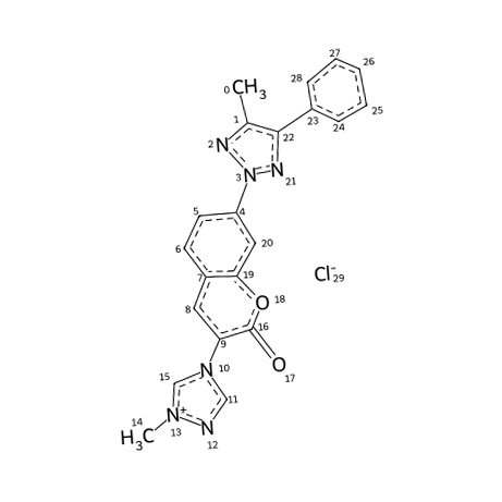 Cc1nn(-c2ccc3cc(-n4cn[n+](C)c4)c(=O)oc3c2)nc1-c1ccccc1.[Cl-]